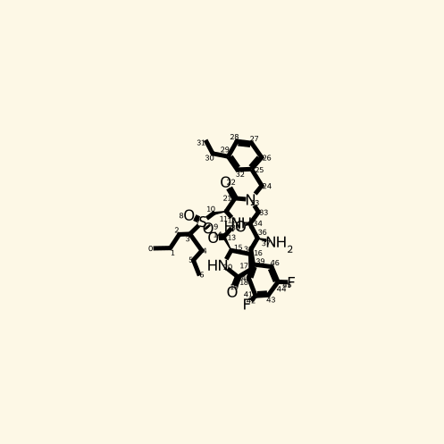 CCCC(CCC)S(=O)(=O)C[C@H](NC(=O)[C@H]1CCC(=O)N1)C(=O)N(Cc1cccc(CC)c1)C[C@@H](O)[C@@H](N)Cc1cc(F)cc(F)c1